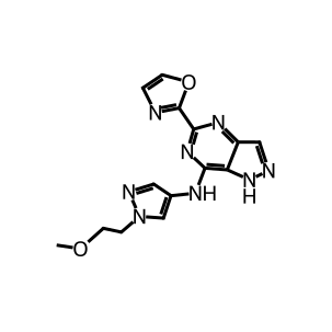 COCCn1cc(Nc2nc(-c3ncco3)nc3cn[nH]c23)cn1